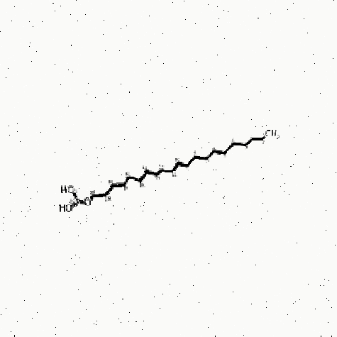 CCCCCCCCCCCCCCCCCCCCCOP(O)O